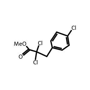 COC(=O)C(Cl)(Cl)Cc1ccc(Cl)cc1